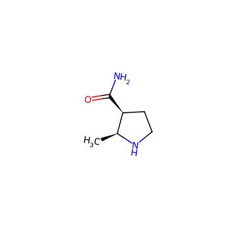 C[C@@H]1NCC[C@@H]1C(N)=O